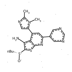 CCCC[S@@+]([O-])c1sc2nc(-c3cncnc3)cc(-c3cnc(C)n3C)c2c1N